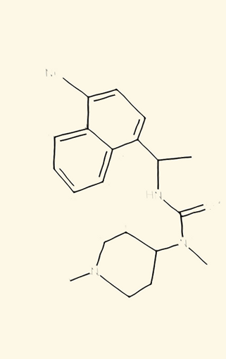 CC(NC(=O)N(C)C1CCN(C)CC1)c1ccc(C#N)c2ccccc12